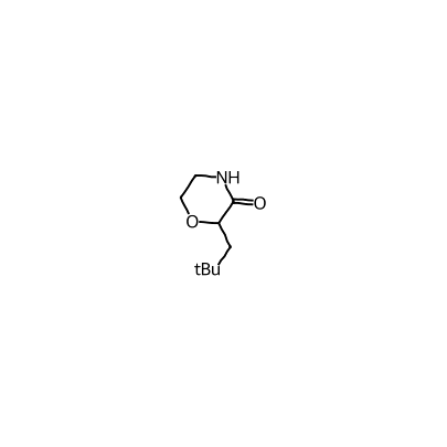 CC(C)(C)CC1OCCNC1=O